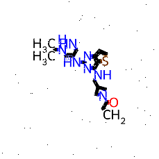 C=CC(=O)N1CC(CNc2nc(N/C(C=N)=C/NC(C)C)nc3ccsc23)C1